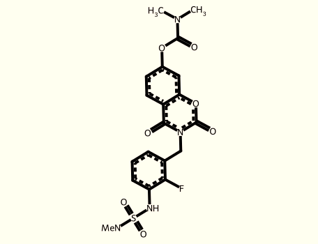 CNS(=O)(=O)Nc1cccc(Cn2c(=O)oc3cc(OC(=O)N(C)C)ccc3c2=O)c1F